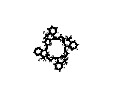 FC(F)(F)c1ccccc1C1=C2C=CC(=N2)C(c2ccccc2C(F)(F)F)=C2C=CC(=N2)C(c2ccccc2C(F)(F)F)=C2C=CC(=N2)C(c2ccccc2C(F)(F)F)=C2C=CC1=N2